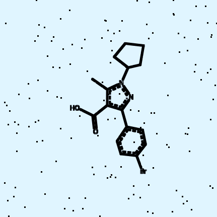 Cc1c(C(=O)O)c(-c2ccc(Br)cc2)nn1C1CCCC1